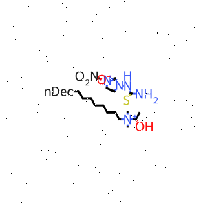 CCCCCCCCCCCCCCCCCC[N+](C)(C)C(C)O.NC(=S)NN1C=NCC1.O=[N+]([O-])[O-]